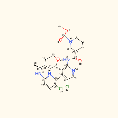 COC(=O)N1CCC[C@H](C(=O)Nc2cc(-c3nc(N[C@@H](C)C4CCOCC4)ccc3Cl)c(Cl)cn2)C1